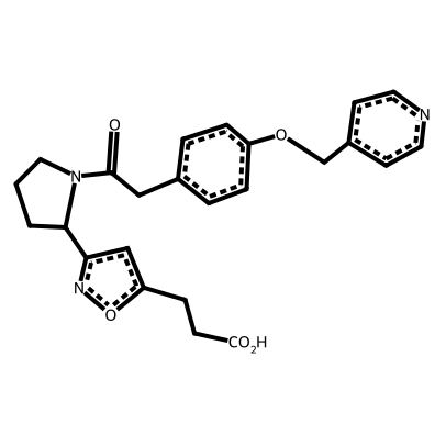 O=C(O)CCc1cc(C2CCCN2C(=O)Cc2ccc(OCc3ccncc3)cc2)no1